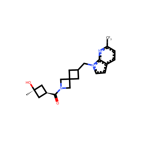 C[C@]1(O)C[C@@H](C(=O)N2CC3(CC(Cn4ccc5ccc(C(F)(F)F)nc54)C3)C2)C1